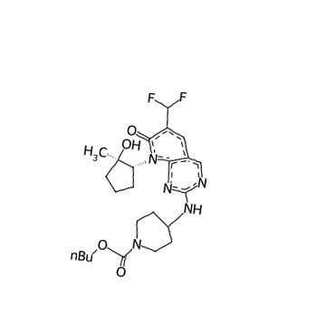 CCCCOC(=O)N1CCC(Nc2ncc3cc(C(F)F)c(=O)n([C@@H]4CCC[C@@]4(C)O)c3n2)CC1